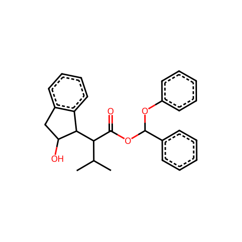 CC(C)C(C(=O)OC(Oc1ccccc1)c1ccccc1)C1c2ccccc2CC1O